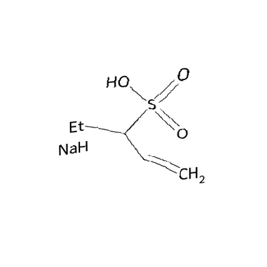 C=CC(CC)S(=O)(=O)O.[NaH]